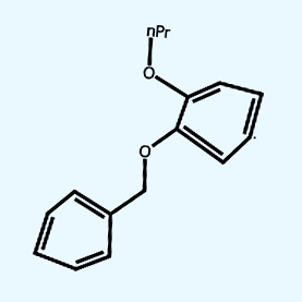 CCCOc1cc[c]cc1OCc1ccccc1